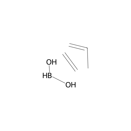 C=C.C=CC.OBO